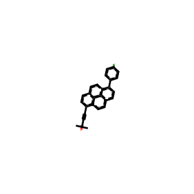 CC(C)(O)C#Cc1ccc2ccc3c(-c4ccc(Cl)cc4)ccc4ccc1c2c43